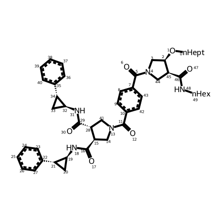 CCCCCCCO[C@@H]1CN(C(=O)c2ccc(C(=O)N3C[C@@H](C(=O)N[C@H]4C[C@@H]4c4ccccc4)[C@H](C(=O)N[C@H]4C[C@@H]4c4ccccc4)C3)cc2)C[C@@H]1C(=O)NCCCCCC